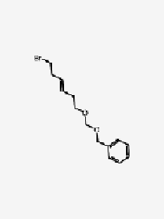 BrCCC=CCCOCOCc1ccccc1